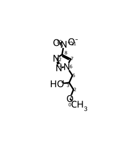 COCC(O)Cn1cc([N+](=O)[O-])nn1